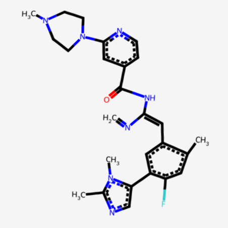 C=N/C(=C\c1cc(-c2cnc(C)n2C)c(F)cc1C)NC(=O)c1ccnc(N2CCN(C)CC2)c1